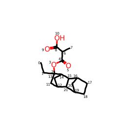 CCC1(OC(=O)C(C)C(=O)O)CC2CC1C1C3CCC(C3)C21